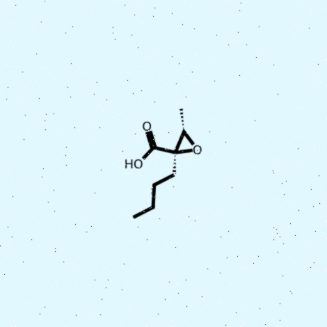 CCCC[C@@]1(C(=O)O)O[C@H]1C